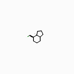 CC(=O)[C@H]1CC[C@H]2C(=CBr)CCC[C@]12C